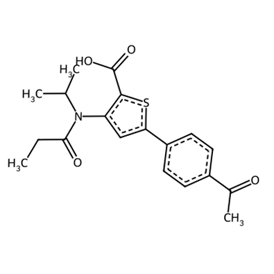 CCC(=O)N(c1cc(-c2ccc(C(C)=O)cc2)sc1C(=O)O)C(C)C